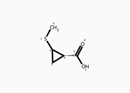 CSC1C[C@H]1C(=O)O